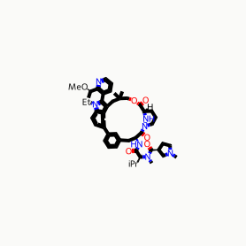 CCn1c(-c2cccnc2[C@H](C)OC)c2c3cc(ccc31)-c1cccc(c1)C[C@H](NC(=O)[C@H](C(C)C)N(C)C(=O)[C@H]1CCN(C)C1)C(=O)N1CCC[C@H](N1)C(=O)OCC(C)(C)C2